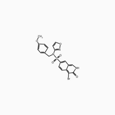 COc1ccc(CN(c2ccon2)S(=O)(=O)c2ccc3c(Br)c(=O)[nH]cc3c2)cc1